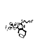 CSc1nc2c(c(OS(=O)(=O)C(F)(F)F)n1)COCC2